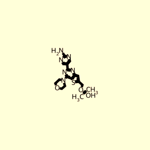 CC(C)(O)OCc1cc2nc(-c3cnc(N)nc3)nc(N3CCOCC3)c2s1